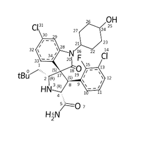 CC(C)(C)C[C@H]1N[C@@H](C(N)=O)[C@H](c2cccc(Cl)c2F)[C@@]12C(=O)N(C1CCC(O)CC1)c1cc(Cl)ccc12